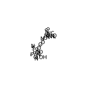 C=CC(=O)N1CCN(c2nc(OC[C@@H]3C[C@@H](OCCOCCOc4cc(-c5scnc5C)ccc4CNC(=O)[C@@H]4C[C@@H](O)CN4C(=O)C(c4cc(C)no4)C(C)C)CN3C)nc3c2CCN(c2cccc4ccccc24)C3)C[C@@H]1CC#N